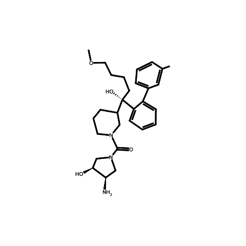 COCCCC[C@@](O)(c1ccccc1-c1cccc(C)c1)C1CCCN(C(=O)N2C[C@@H](N)[C@@H](O)C2)C1